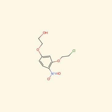 O=[N+]([O-])c1ccc(OCCO)cc1OCCCl